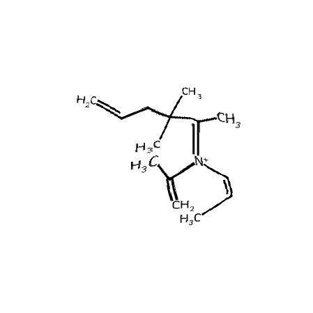 C=CCC(C)(C)/C(C)=[N+](/C=C\C)C(=C)C